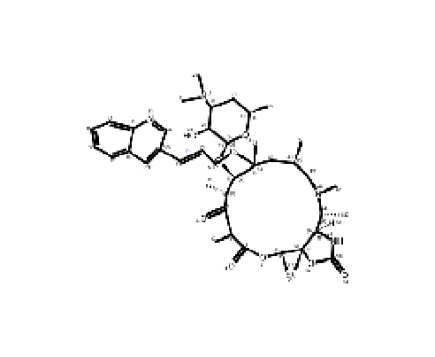 CC[C@H]1OC(=O)C(C)C(=O)[C@H](C)[C@@H](O[C@@H]2O[C@H](C)CC(N(C)C)C2O)[C@](C)(OC/C=C/c2cnc3ccccc3c2)C[C@@H](C)CN(C)[C@H](C)[C@H]2NC(=O)O[C@@]21C